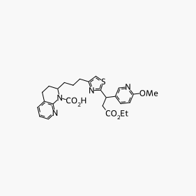 CCOC(=O)CC(c1ccc(OC)nc1)c1nc(CCCC2CCc3cccnc3N2C(=O)O)cs1